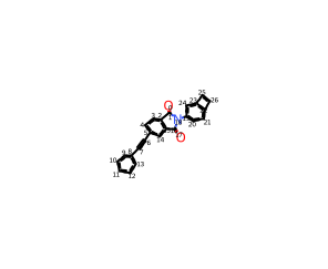 O=C1c2ccc(C#Cc3ccccc3)cc2C(=O)N1c1ccc2c(c1)C=C2